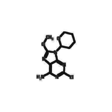 COc1nc2c(N)nc(Cl)nc2n1C1CCCCO1